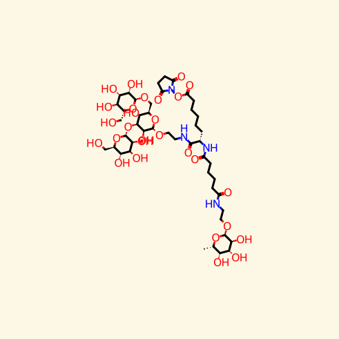 C[C@@H]1O[C@@H](OCCNC(=O)CCCCC(=O)N[C@@H](CCCCCC(=O)ON2C(=O)CCC2=O)C(=O)NCCO[C@H]2O[C@H](CO[C@H]3O[C@H](CO)[C@@H](O)[C@H](O)[C@@H]3O)[C@@H](O)[C@H](O[C@H]3O[C@H](CO)[C@@H](O)[C@H](O)[C@@H]3O)[C@@H]2O)[C@@H](O)[C@H](O)[C@@H]1O